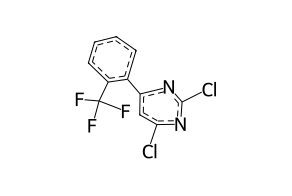 FC(F)(F)c1ccccc1-c1cc(Cl)nc(Cl)n1